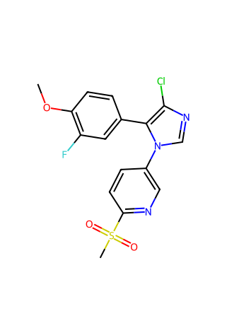 COc1ccc(-c2c(Cl)ncn2-c2ccc(S(C)(=O)=O)nc2)cc1F